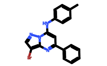 Cc1ccc(Nc2cc(-c3ccccc3)nc3c(Br)cnn23)cc1